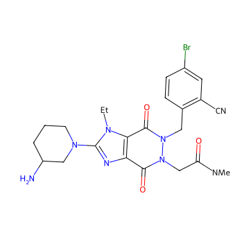 CCn1c(N2CCCC(N)C2)nc2c(=O)n(CC(=O)NC)n(Cc3ccc(Br)cc3C#N)c(=O)c21